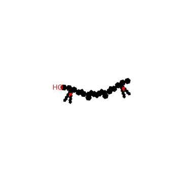 CCCCCCCCC1(CCCCCCCC)c2cc(-c3ccccc3)ccc2-c2ccc(-c3ccc4c(c3)C(C)(C)c3cc(-c5cc6c(c7ccccc57)-c5cc7c(cc5C6(C)C)-c5cc6c(cc5C7(C)C)-c5c(cc(-c7ccc8c(c7)C(C)(C)c7cc(-c9ccc%10c(c9)C(CCCCCCCC)(CCCCCCCC)c9cc(-c%11ccc(O)cc%11)ccc9-%10)ccc7-8)c7ccccc57)C6(C)C)ccc3-4)cc21